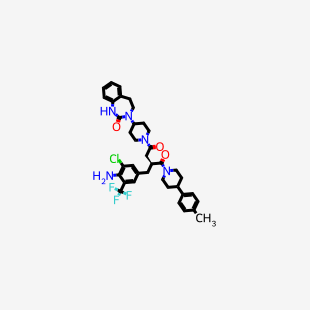 Cc1ccc(C2CCN(C(=O)[C@H](CC(=O)N3CCC(N4CCc5ccccc5NC4=O)CC3)Cc3cc(Cl)c(N)c(C(F)(F)F)c3)CC2)cc1